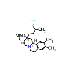 C=C(C[18F])CC[C@]1(OC)C[C@H]2c3cc(C)c(C)cc3CCN2C[C@@H]1CC(C)C